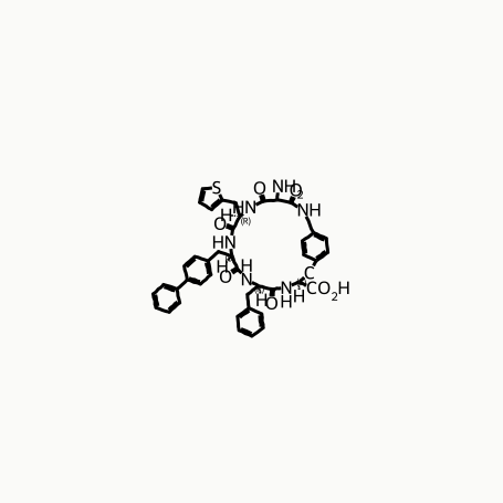 NC1C(=O)Nc2ccc(cc2)C[C@@H](C(=O)O)NC(=O)[C@@H](Cc2ccccc2)NC(=O)[C@H](Cc2ccc(-c3ccccc3)cc2)NC(=O)[C@@H](Cc2cccs2)NC1=O